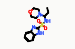 CCC(NS(=O)(=O)c1nc2ccccc2[nH]1)N1CCOCC1